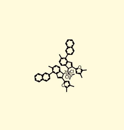 Cc1cc(C2=Cc3c(ccc(C)c3-c3ccc4ccccc4c3)[CH]2[Zr]([Cl])([Cl])([CH]2C(c3cc(C)c(C)o3)=Cc3c2ccc(C)c3-c2ccc3ccccc3c2)=[Si](C)C)oc1C